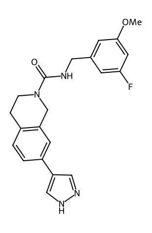 COc1cc(F)cc(CNC(=O)N2CCc3ccc(-c4cn[nH]c4)cc3C2)c1